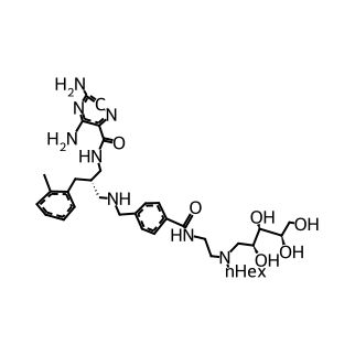 CCCCCCN(CCNC(=O)c1ccc(CNC[C@@H](CNC(=O)c2ncc(N)nc2N)Cc2ccccc2C)cc1)C[C@H](O)[C@@H](O)[C@H](O)CO